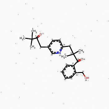 CC(C)(C)C(=O)Cc1ccc(CC(C)(C)C(=O)c2ccccc2CO)nc1